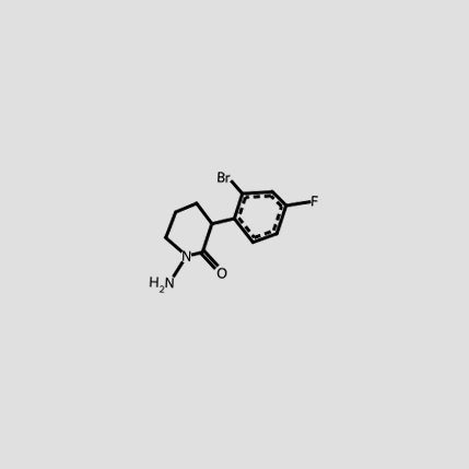 NN1CCCC(c2ccc(F)cc2Br)C1=O